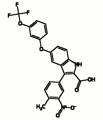 Cc1ccc(-c2c(C(=O)O)[nH]c3ccc(Oc4cccc(OC(F)(F)F)c4)cc23)cc1[N+](=O)[O-]